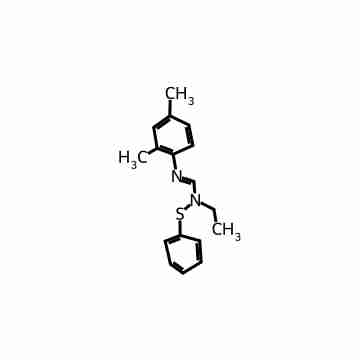 CCN(C=Nc1ccc(C)cc1C)Sc1ccccc1